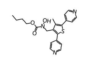 CCCCOC(=O)N(O)Cc1c(-c2ccncc2)sc(-c2ccncc2)c1C